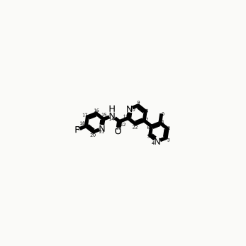 Cc1ccncc1-c1ccnc(C(=O)Nc2ccc(F)cn2)c1